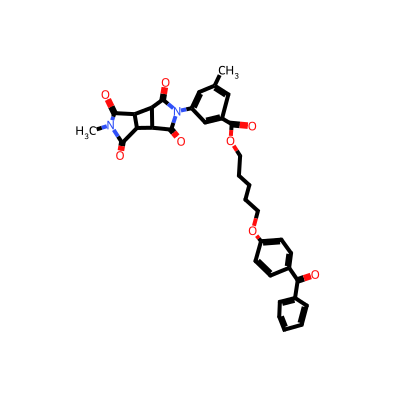 Cc1cc(C(=O)OCCCCCOc2ccc(C(=O)c3ccccc3)cc2)cc(N2C(=O)C3C4C(=O)N(C)C(=O)C4C3C2=O)c1